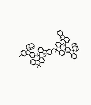 Cc1ccc2c(c1)-c1ccc(N(c3cccc4c3-c3ccccc3C4(C)C)c3cccc4c3sc3ccc(CC5(C)c6ccccc6-c6c(N(c7ccc8c(c7)C7(c9ccccc9-8)C8CC9CC(C8)CC7C9)c7cccc8c7sc7ccccc78)cccc65)cc34)cc1C21C2CC3CC(C2)CC1C3